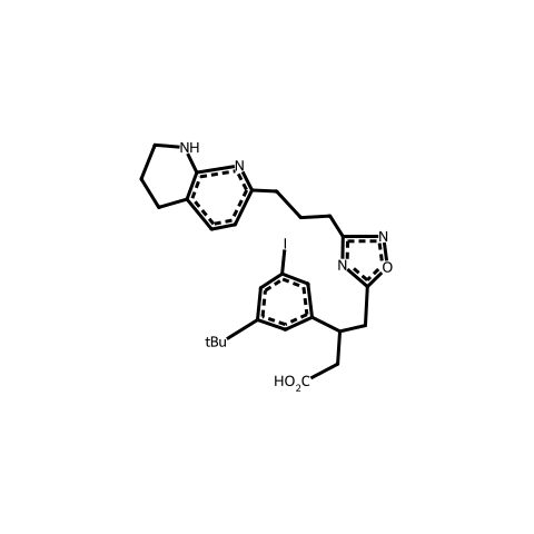 CC(C)(C)c1cc(I)cc(C(CC(=O)O)Cc2nc(CCCc3ccc4c(n3)NCCC4)no2)c1